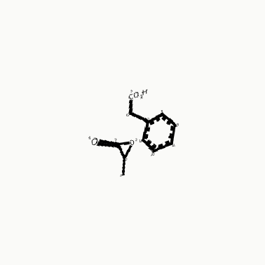 CC1OC1=O.O=C(O)Cc1ccccc1